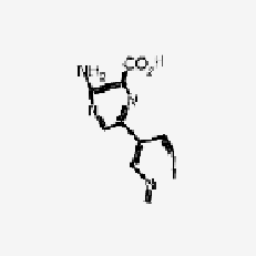 C=N/C=C(\C=C/C)c1cnc(N)c(C(=O)O)n1